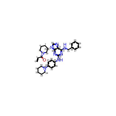 C=CC(=O)N1CCC[C@H](n2cnc3c(NCc4ccccc4)nc(Nc4ccc(N5CCCCC5)cc4)nc32)C1